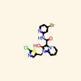 O=C(Nc1cc(Br)ccn1)c1c(O)n(Cc2cnc(Cl)s2)c2cccc[n+]12